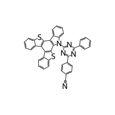 N#Cc1ccc(-c2nc(-c3ccccc3)nc(-n3c4ccccc4c4c5sc6ccccc6c5c5c6ccccc6sc5c43)n2)cc1